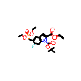 CCOC(=O)c1cc2cc(CP(=O)(OCC)OCC)c(F)cc2n1C(=O)OC(C)(C)C